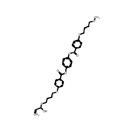 C=CC(O)OCCCCOc1ccc(C(=O)Oc2ccc(OC(=O)c3ccc(OCCCCOC)cc3)cc2)cc1